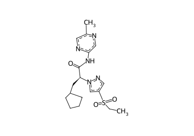 CCS(=O)(=O)c1cnn([C@@H](CC2CCCC2)C(=O)Nc2cnc(C)cn2)c1